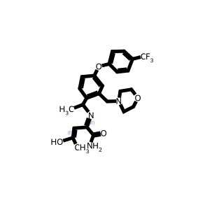 C/C(O)=C\C(=N/C(C)c1ccc(Oc2ccc(C(F)(F)F)cc2)cc1CN1CCOCC1)C(N)=O